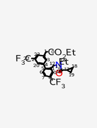 CCOC(=O)Cc1cc(-c2ccc(C(F)(F)F)cc2CN(CC)C(=O)C2CC2)cc(C(F)(F)F)c1